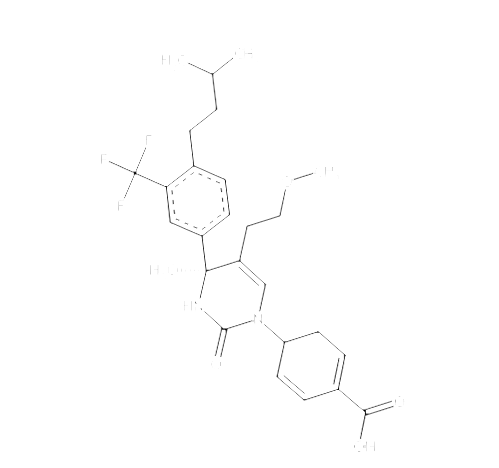 COCCC1=CN(C2C=CC(C(=O)O)=CC2)C(=O)N[C@@]1(C)c1ccc(CCC(C)C)c(C(F)(F)F)c1